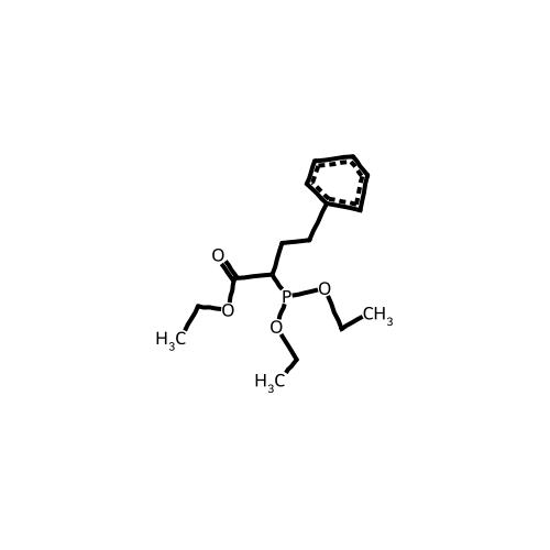 CCOC(=O)C(CCc1ccccc1)P(OCC)OCC